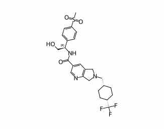 CS(=O)(=O)c1ccc([C@H](CO)NC(=O)c2cnc3c(c2)CN(C[C@H]2CC[C@@H](C(F)(F)F)CC2)C3)cc1